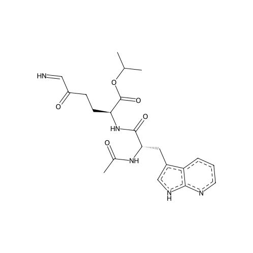 CC(=O)N[C@@H](Cc1c[nH]c2ncccc12)C(=O)N[C@@H](CCC(=O)C=N)C(=O)OC(C)C